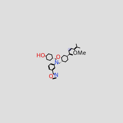 C=C(/C=C\C(OC)=C(C)C)[C@H]1CC[C@H](CN(c2cccc(-c3ncco3)c2)C(=O)[C@H]2CC[C@H](O)CC2)CC1